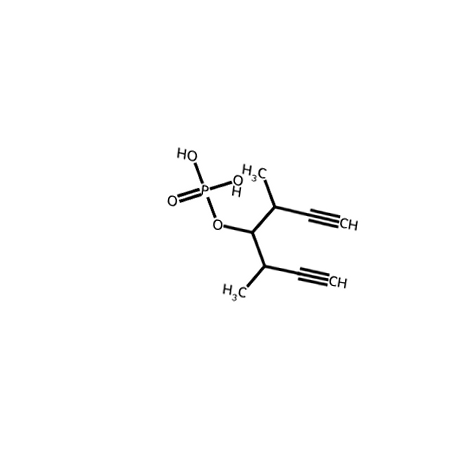 C#CC(C)C(OP(=O)(O)O)C(C)C#C